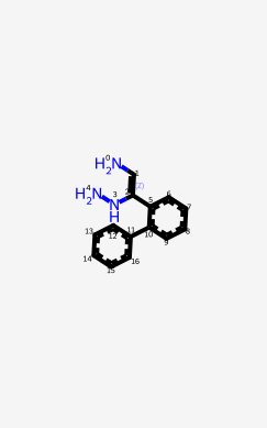 N/C=C(\NN)c1ccccc1-c1ccccc1